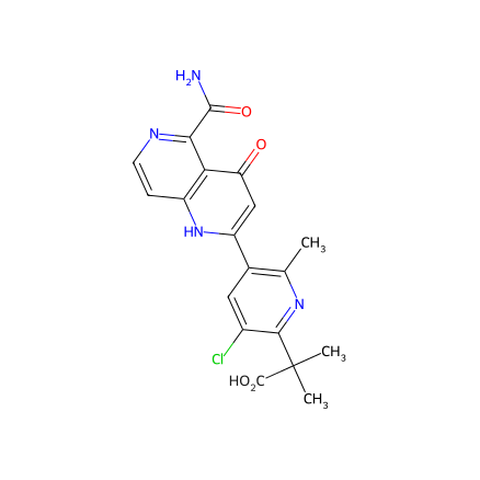 Cc1nc(C(C)(C)C(=O)O)c(Cl)cc1-c1cc(=O)c2c(C(N)=O)nccc2[nH]1